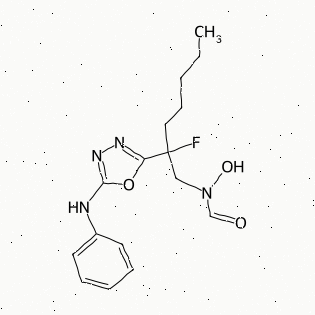 CCCCCC(F)(CN(O)C=O)c1nnc(Nc2ccccc2)o1